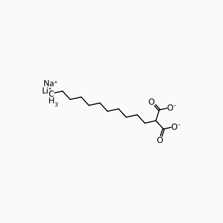 CCCCCCCCCCCC(C(=O)[O-])C(=O)[O-].[Li+].[Na+]